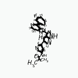 CC(C)C(=O)Nc1cncc(-c2cnc3[nH]nc(-c4nc5c(-c6cccc(F)c6)nccc5[nH]4)c3c2)c1